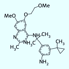 COCCOc1cc2c(NC(C)(C)c3cc(N)cc(C4(C)CC4)c3)nc(C)nc2cc1OC